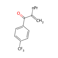 C=C(CCC)C(=O)c1ccc(C(F)(F)F)cc1